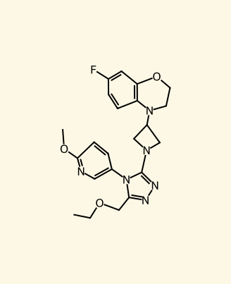 CCOCc1nnc(N2CC(N3CCOc4cc(F)ccc43)C2)n1-c1ccc(OC)nc1